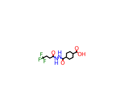 O=C(CCC(F)(F)F)NNC(=O)C1CCC(C(=O)O)CC1